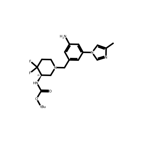 Cc1cn(-c2cc(N)cc(CN3CCC(F)(F)[C@H](NC(=O)OC(C)(C)C)C3)c2)cn1